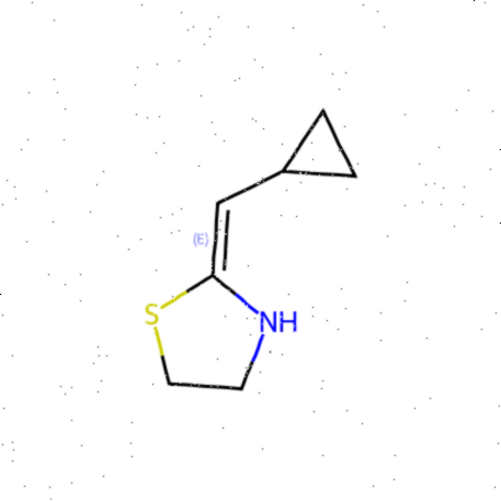 C(=C1/NCCS1)/C1CC1